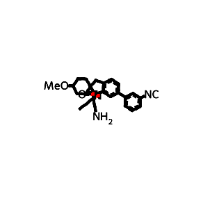 [C-]#[N+]c1cccc(-c2ccc3c(c2)C2(N=C(N)N(C)C2=O)C2(CCC(OC)CC2)C3)c1